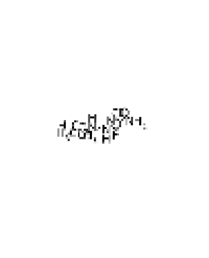 CC(C)(C)OC(=O)NCCNc1nc(Cl)c(C(N)=O)cc1F